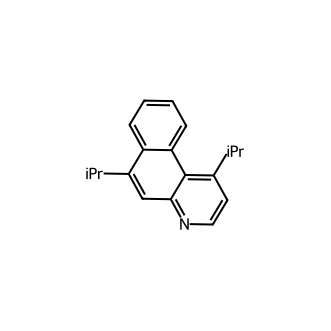 CC(C)c1cc2nccc(C(C)C)c2c2ccccc12